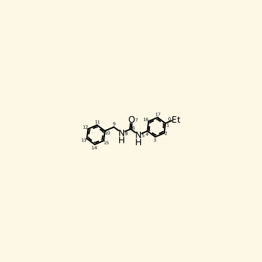 CCc1ccc(NC(=O)NCc2ccccc2)cc1